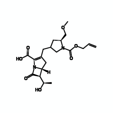 C=CCOC(=O)N1CC(CC2=C(C(=O)O)N3C(=O)[C@H]([C@@H](C)O)[C@H]3C2)C[C@H]1COC